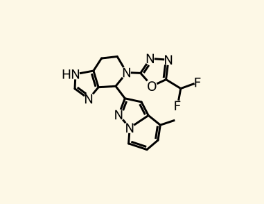 Cc1cccn2nc(C3c4nc[nH]c4CCN3c3nnc(C(F)F)o3)cc12